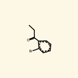 CCC(=O)c1ccccc1Br